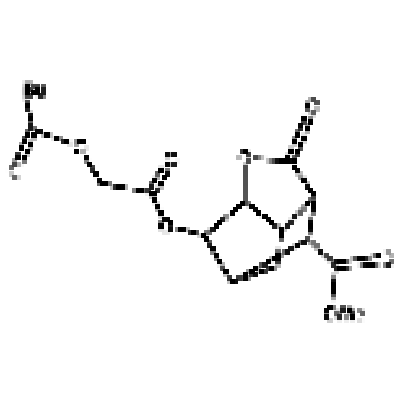 CCC(C)C(=O)OCC(=O)OC1C2CC3C1OC(=O)C3C2C(=O)OC